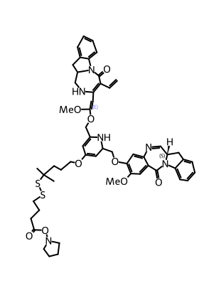 C=CC1=C(/C=C(\OC)OCC2=CC(OCCCC(C)(C)SSCCCC(=O)ON3CCCC3)=CC(COc3cc4c(cc3OC)C(=O)N3c5ccccc5C[C@H]3C=N4)N2)NCC2Cc3ccccc3N2C1=O